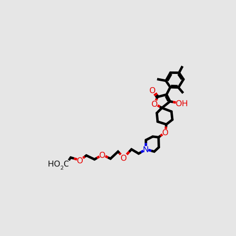 Cc1cc(C)c(C2=C(O)C3(CCC(OC4CCN(CCOCCOCCOCC(=O)O)CC4)CC3)OC2=O)c(C)c1